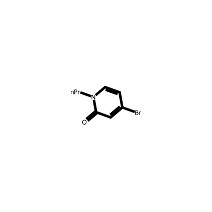 CCCn1ccc(Br)cc1=O